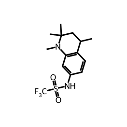 CC1CC(C)(C)N(C)c2cc(NS(=O)(=O)C(F)(F)F)ccc21